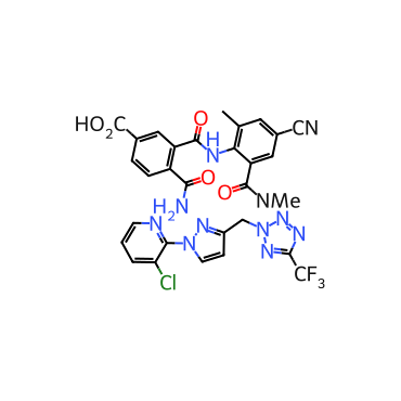 CNC(=O)c1cc(C#N)cc(C)c1NC(=O)c1cc(C(=O)O)ccc1C(N)=O.FC(F)(F)c1nnn(Cc2ccn(-c3ncccc3Cl)n2)n1